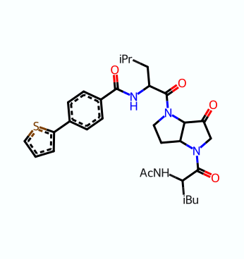 CCC(C)C(NC(C)=O)C(=O)N1CC(=O)C2C1CCN2C(=O)C(CC(C)C)NC(=O)c1ccc(-c2cccs2)cc1